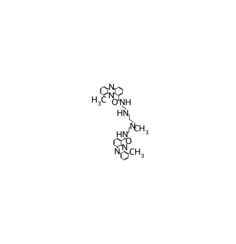 Cc1cccc2nc3cccc(C(=O)NCCNCCCN(C)CCNC(=O)c4cccc5nc6cccc(C)c6nc45)c3nc12